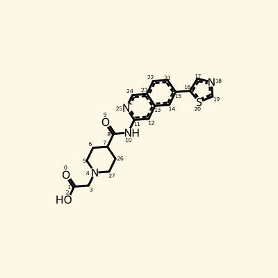 O=C(O)CN1CCC(C(=O)Nc2cc3cc(-c4cncs4)ccc3cn2)CC1